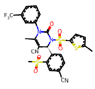 [C-]#[N+]C1=C(C)N(c2cccc(C(F)(F)F)c2)C(=O)N(S(=O)(=O)c2ccc(C)s2)[C@@H]1c1ccc(C#N)cc1S(C)(=O)=O